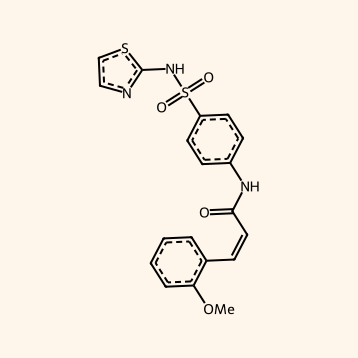 COc1ccccc1/C=C\C(=O)Nc1ccc(S(=O)(=O)Nc2nccs2)cc1